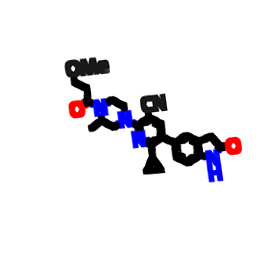 COCCC(=O)N1CCN(c2nc(C3CC3)c(-c3ccc4c(c3)CC(=O)N4)cc2C#N)CC1C